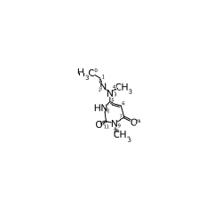 C/C=N/N(C)c1cc(=O)n(C)c(=O)[nH]1